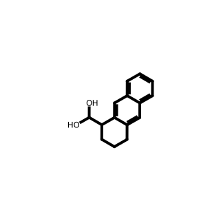 OC(O)C1CCCc2cc3ccccc3cc21